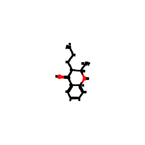 CC(=O)CCC1C(=O)c2ccccc2OC1C(C)C